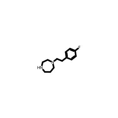 Fc1ccc(CCN2CCCNCC2)cc1